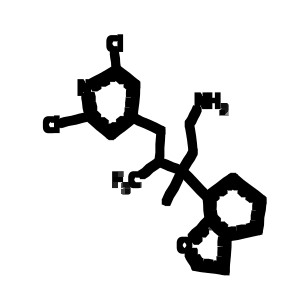 CC(CCN)(c1cccc2ccoc12)C(Cc1cc(Cl)nc(Cl)c1)C(F)(F)F